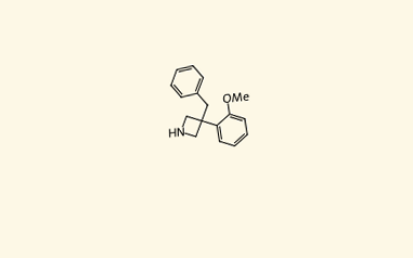 COc1ccccc1C1(Cc2ccccc2)CNC1